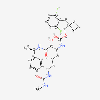 CNC(=O)NCCCC[C@H](NC(=O)OCC1(Cc2c(F)cccc2F)CCC1)C(O)C(=O)N[C@H](C)c1ccccc1